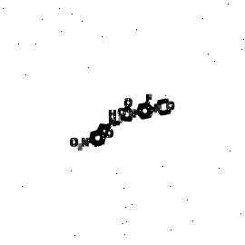 O=C1O[C@@H](CNc2cc3cc([N+](=O)[O-])ccc3o2)CN1c1ccc(N2CCOCC2)c(F)c1